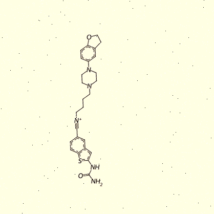 NC(=O)Nc1cc2cc(C#[N+]CCCCN3CCN(c4ccc5c(c4)CCO5)CC3)ccc2s1